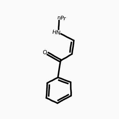 CCCN/C=C\C(=O)c1ccccc1